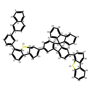 c1cc(-c2ccc3ccccc3c2)cc(-c2cccc3c2sc2cc(-c4ccc5c(c4)-c4ccc(-c6cccc7c6sc6ccccc67)cc4C54c5ccccc5-c5ccccc54)ccc23)c1